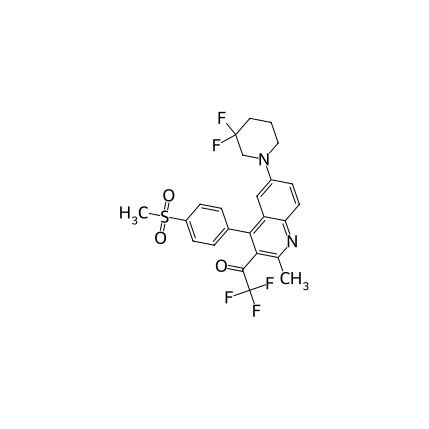 Cc1nc2ccc(N3CCCC(F)(F)C3)cc2c(-c2ccc(S(C)(=O)=O)cc2)c1C(=O)C(F)(F)F